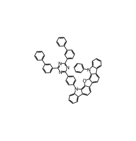 c1ccc(-c2cccc(-c3nc(-c4ccc(-n5c6ccccc6c6ccc7c8ccc9c%10ccccc%10n(-c%10ccccc%10)c9c8oc7c65)cc4)nc(-c4cccc(-c5ccccc5)c4)n3)c2)cc1